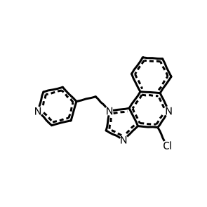 Clc1nc2ccccc2c2c1ncn2Cc1ccncc1